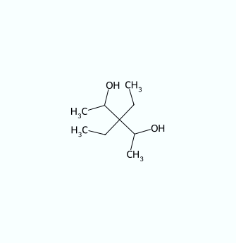 CCC(CC)(C(C)O)C(C)O